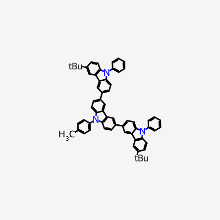 Cc1ccc(-n2c3ccc(-c4ccc5c(c4)c4cc(C(C)(C)C)ccc4n5-c4ccccc4)cc3c3cc(-c4ccc5c(c4)c4cc(C(C)(C)C)ccc4n5-c4ccccc4)ccc32)cc1